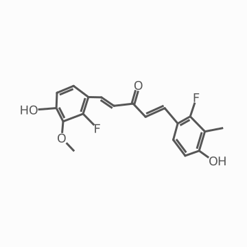 COc1c(O)ccc(/C=C/C(=O)/C=C/c2ccc(O)c(C)c2F)c1F